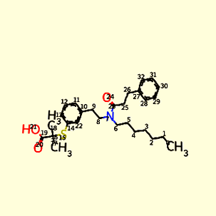 CCCCCCCN(CCc1cccc(SC(C)(C)C(=O)O)c1)C(=O)CCc1ccccc1